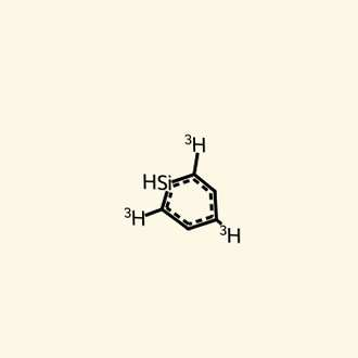 [3H]c1cc([3H])[siH]c([3H])c1